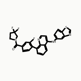 O=C(c1ccc(-c2cccc3c(Nc4ccc5scnc5c4)ccnc23)c(F)c1)N1CCC(F)(F)C1